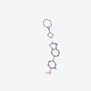 COc1ccc(-c2ccc3nc([C@H]4C[C@H](N5CCCCC5)C4)sc3c2)cn1